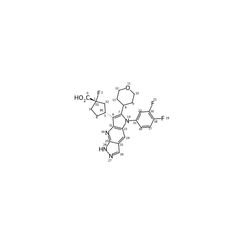 O=C(O)[C@]1(F)CC[C@@H](c2c(C3CCOCC3)n(-c3ccc(F)c(F)c3)c3cc4cn[nH]c4nc23)C1